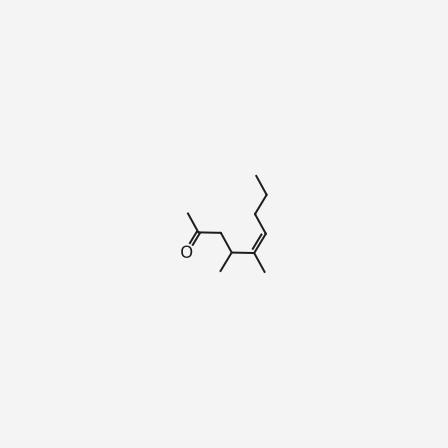 CCCC=C(C)C(C)CC(C)=O